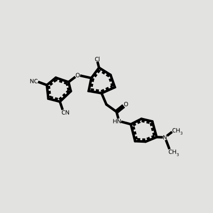 CN(C)c1ccc(NC(=O)Cc2ccc(Cl)c(Oc3cc(C#N)cc(C#N)c3)c2)cc1